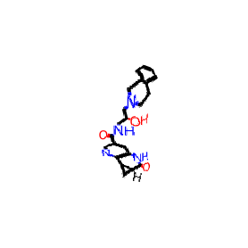 O=C(NC[C@H](O)CN1CCc2ccccc2C1)c1cnc2c(c1)NC(=O)[C@H]1CC21